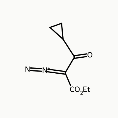 CCOC(=O)C(=[N+]=[N-])C(=O)C1CC1